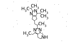 CCc1nc(C(C)CC2Cc3nc(C(C)C)nc(C(C)C)c3C2)nc2c1CCNC2